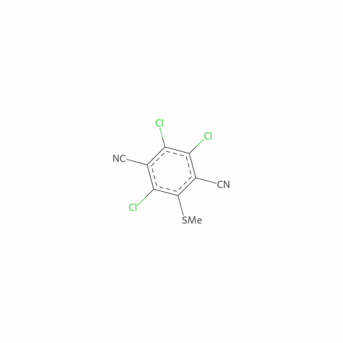 CSc1c(Cl)c(C#N)c(Cl)c(Cl)c1C#N